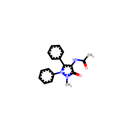 CC(=O)Nc1c(-c2ccccc2)n(-c2ccccc2)n(C)c1=O